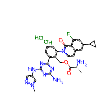 C[C@@H](N)C(=O)OCc1c(-c2nc(N)nc(Nc3cnn(C)c3)n2)cccc1-n1ccc2cc(C3CC3)cc(F)c2c1=O.Cl.Cl